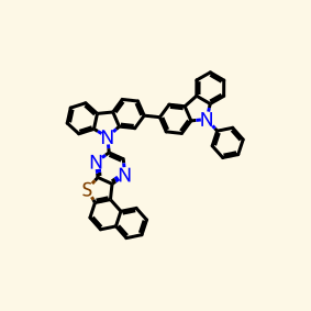 c1ccc(-n2c3ccccc3c3cc(-c4ccc5c6ccccc6n(-c6cnc7c(n6)sc6ccc8ccccc8c67)c5c4)ccc32)cc1